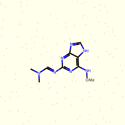 CONc1nc(N=CN(C)C)nc2nc[nH]c12